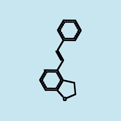 [c]1ccc2c(c1C=Cc1ccccc1)CCO2